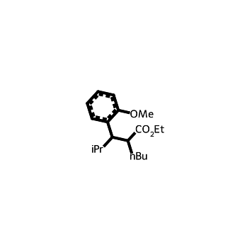 CCCCC(C(=O)OCC)C(c1ccccc1OC)C(C)C